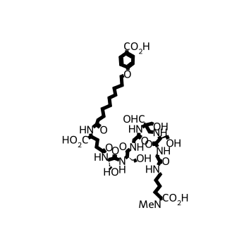 CN[C@@H](CCCCNC(=O)CNC(=O)[C@H](CO)NC[C@@](C=O)(CO)NC(=O)CNC(=O)[C@H](CO)NC(=O)[C@H](CO)NC(=O)CCC(NC(=O)CCCCCCCCCOc1ccc(C(=O)O)cc1)C(=O)O)C(=O)O